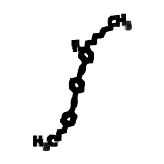 CCCCCCCc1ccc(C#Cc2ccc(C#Cc3ccc(CCCC)cc3)cc2)cc1F